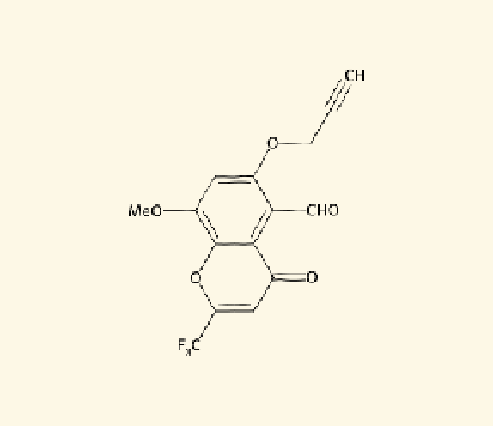 C#CCOc1cc(OC)c2oc(C(F)(F)F)cc(=O)c2c1C=O